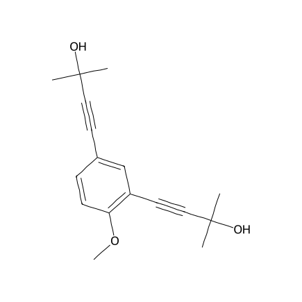 COc1ccc(C#CC(C)(C)O)cc1C#CC(C)(C)O